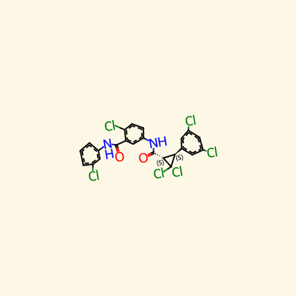 O=C(Nc1cccc(Cl)c1)c1cc(NC(=O)[C@@H]2[C@@H](c3cc(Cl)cc(Cl)c3)C2(Cl)Cl)ccc1Cl